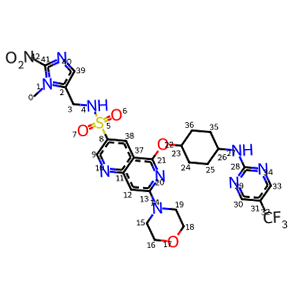 Cn1c(CNS(=O)(=O)c2cnc3cc(N4CCOCC4)nc(OC4CCC(Nc5ncc(C(F)(F)F)cn5)CC4)c3c2)cnc1[N+](=O)[O-]